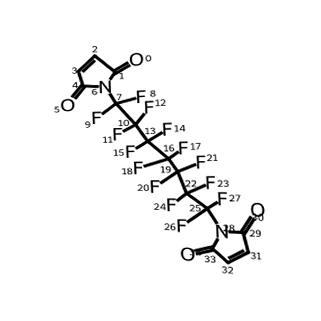 O=C1C=CC(=O)N1C(F)(F)C(F)(F)C(F)(F)C(F)(F)C(F)(F)C(F)(F)C(F)(F)N1C(=O)C=CC1=O